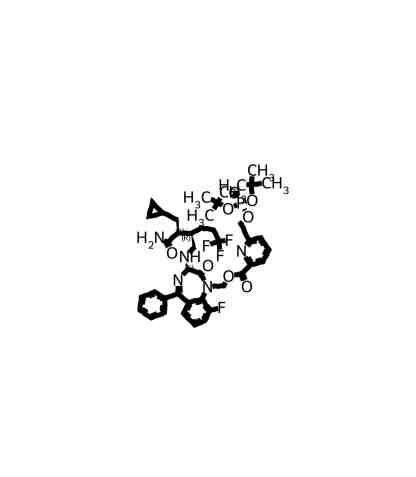 CC(C)(C)OP(=O)(OCc1cccc(C(=O)OCN2C(=O)[C@@H](NC[C@H](CCC(F)(F)F)[C@H](CC3CC3)C(N)=O)N=C(c3ccccc3)c3cccc(F)c32)n1)OC(C)(C)C